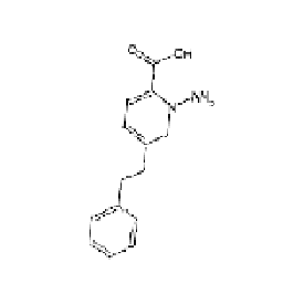 NN1CC(CCc2ccccc2)=CC=C1C(=O)O